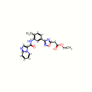 CCOC(=O)Cc1nc(-c2ccc(C)c(NC(=O)c3cnc4ccccn34)c2)no1